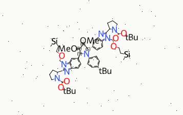 CO[C@H]1[C@H](OC)[C@H](c2ccc3nc(C4CCCN4C(=O)OC(C)(C)C)n(COCC[Si](C)(C)C)c3c2)N(c2ccc(C(C)(C)C)cc2)[C@H]1c1ccc2c(c1)nc(C1CCCN1C(=O)OC(C)(C)C)n2COCC[Si](C)(C)C